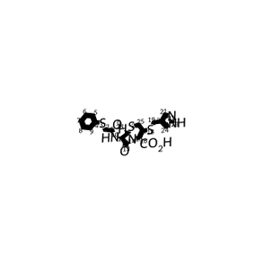 O=C(CSc1ccccc1)N[C@@H]1C(=O)N2C(C(=O)O)=C(SCc3cn[nH]c3)CS[C@H]12